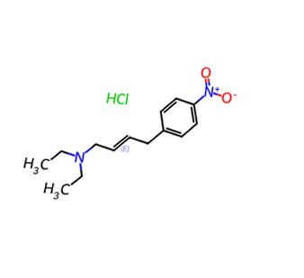 CCN(CC)C/C=C/Cc1ccc([N+](=O)[O-])cc1.Cl